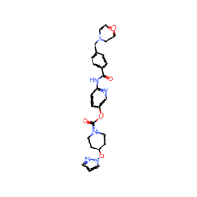 O=C(Nc1ccc(OC(=O)N2CCC(On3cccn3)CC2)cn1)c1ccc(CN2CCOCC2)cc1